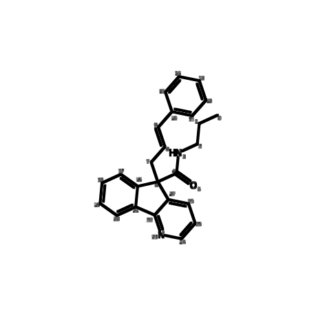 CCCNC(=O)C1(CC=Cc2ccccc2)c2ccccc2-c2ncccc21